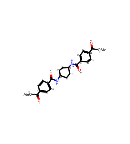 COC(=O)c1ccc(C(=O)NC2CCC(NC(=O)c3ccc(C(=O)OC)cc3)CC2)cc1